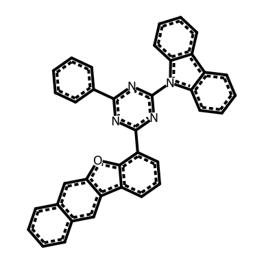 c1ccc(-c2nc(-c3cccc4c3oc3cc5ccccc5cc34)nc(-n3c4ccccc4c4ccccc43)n2)cc1